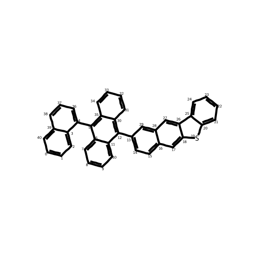 c1ccc2c(-c3c4ccccc4c(-c4ccc5cc6sc7ccccc7c6cc5c4)c4ccccc34)cccc2c1